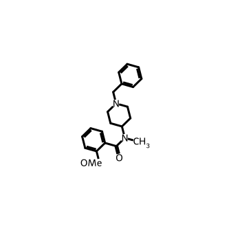 COc1ccccc1C(=O)N(C)C1CCN(Cc2ccccc2)CC1